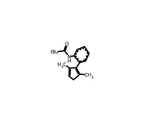 CC1=CCC(C)=C1c1ccccc1NC(=O)C(C)(C)C